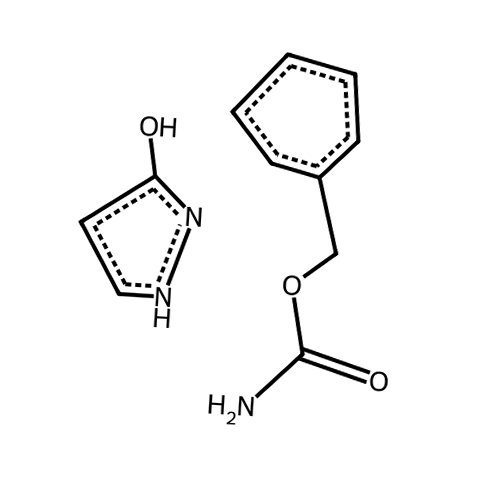 NC(=O)OCc1ccccc1.Oc1cc[nH]n1